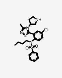 CCCCN(c1ccc(Cl)cc1-c1nnc(C)n1C1CCNC1)S(=O)(=O)c1ccccc1